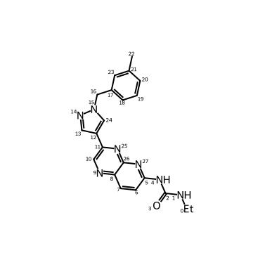 CCNC(=O)Nc1ccc2ncc(-c3cnn(Cc4cccc(C)c4)c3)nc2n1